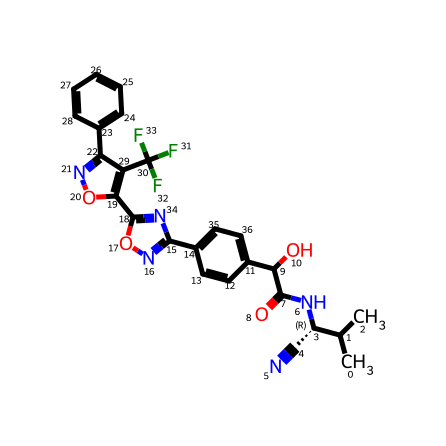 CC(C)[C@H](C#N)NC(=O)C(O)c1ccc(-c2noc(-c3onc(-c4ccccc4)c3C(F)(F)F)n2)cc1